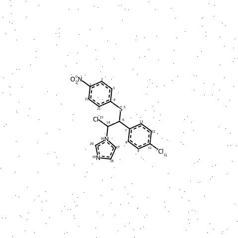 O=[N+]([O-])c1ccc(SC(c2ccc(Cl)cc2)C(Cl)n2ccnc2)cc1